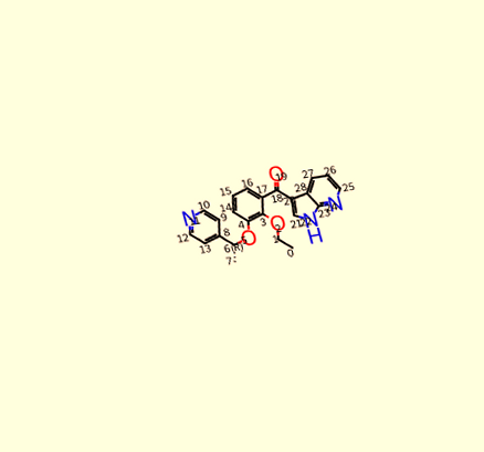 CCOc1c(O[C@H](C)c2ccncc2)cccc1C(=O)c1c[nH]c2ncccc12